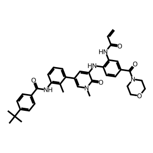 C=CC(=O)Nc1cc(C(=O)N2CCOCC2)ccc1Nc1cc(-c2cccc(NC(=O)c3ccc(C(C)(C)C)cc3)c2C)cn(C)c1=O